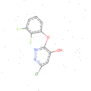 Oc1cc(Cl)nnc1Oc1cccc(F)c1F